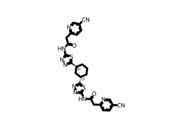 N#Cc1ccc(CC(=O)Nc2nnc([C@H]3CCC[C@H](c4nnc(NC(=O)Cc5ccc(C#N)cn5)s4)C3)s2)nc1